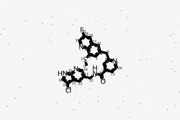 CSc1cc(Cc2cc(C(=O)NCc3cnc4[nH]cc(Cl)c4c3)ccn2)cc2cc(F)cnc12